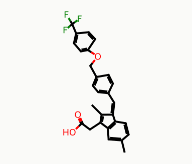 CC1=C(CC(=O)O)c2cc(C)ccc2C1=Cc1ccc(COc2ccc(C(F)(F)F)cc2)cc1